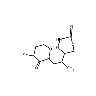 CC(C)C1CCON(CC(C)C2CCC(=O)NO2)C1=O